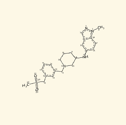 Cn1ncc2cc(NC3CCCN(Cc4cccc(CS(C)(=O)=O)c4)C3)ccc21